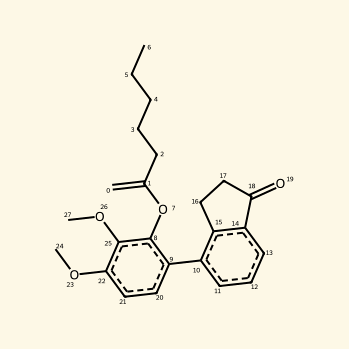 C=C(CCCCC)Oc1c(-c2cccc3c2CCC3=O)ccc(OC)c1OC